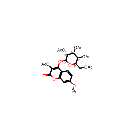 CC(=O)OC[C@H]1O[C@@H](Oc2c(OC(C)=O)c(=O)oc3cc(OC(C)C)ccc23)[C@H](OC(C)=O)[C@@H](OC(C)=O)[C@H]1OC(C)=O